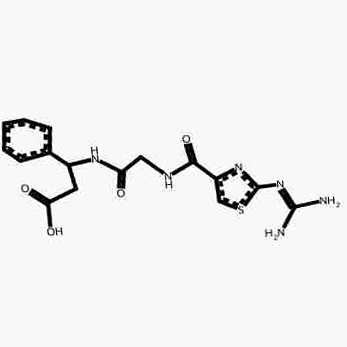 NC(N)=Nc1nc(C(=O)NCC(=O)NC(CC(=O)O)c2ccccc2)cs1